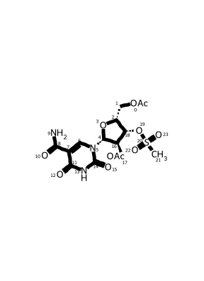 CC(=O)OC[C@H]1O[C@@H](n2cc(C(N)=O)c(=O)[nH]c2=O)[C@H](OC(C)=O)[C@H]1OS(C)(=O)=O